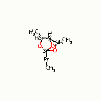 [CH3][Pr][Si]12O[SiH](C)[SiH](O1)[SiH](C)O2